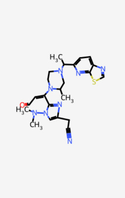 CC(c1ccc2ncsc2n1)N1CCN(/C(=C/C=O)c2nc(CC#N)cn2N(C)C)C(C)C1